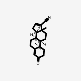 CC12CC[C@@H]3[C@@H](CCC4=CC(=O)CC[C@@]43C)[C@H]1CC=C2C#N